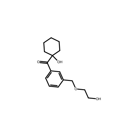 O=C(c1cccc(COCCO)c1)C1(O)CCCCC1